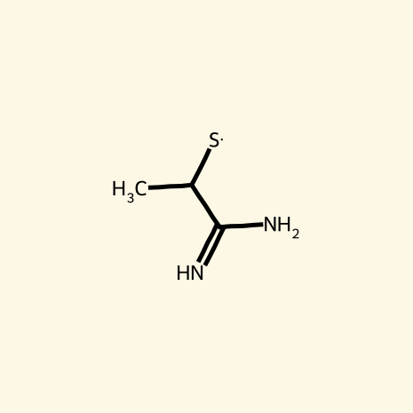 CC([S])C(=N)N